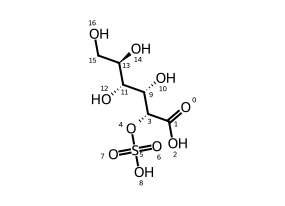 O=C(O)[C@H](OS(=O)(=O)O)[C@@H](O)[C@H](O)[C@H](O)CO